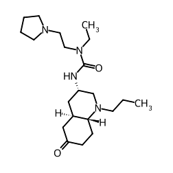 CCCN1C[C@@H](NC(=O)N(CC)CCN2CCCC2)C[C@@H]2CC(=O)CC[C@H]21